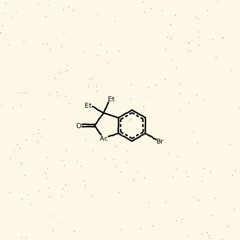 CCC1(CC)[C](=O)[Ac][c]2cc(Br)ccc21